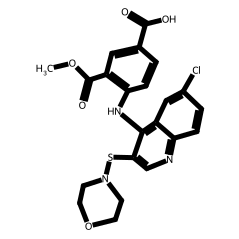 COC(=O)c1cc(C(=O)O)ccc1Nc1c(SN2CCOCC2)cnc2ccc(Cl)cc12